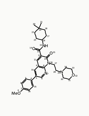 COc1ccc(-c2cnc3c(c2)cc(C(=O)NC2CCC(C)(C)CC2)c(=O)n3CCN2CCOCC2)cc1